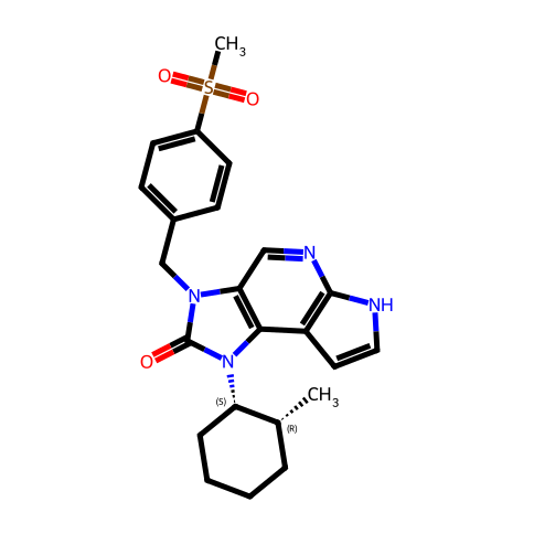 C[C@@H]1CCCC[C@@H]1n1c(=O)n(Cc2ccc(S(C)(=O)=O)cc2)c2cnc3[nH]ccc3c21